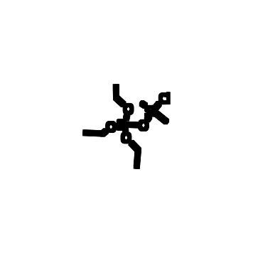 CCO[Si](OCC)(OCC)O[Si](C)(C)Cl